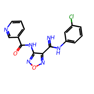 N=C(Nc1cccc(Cl)c1)c1nonc1NC(=O)c1cccnc1